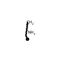 N.[CH2]CCSCCCCCCCCCCC#Cc1ccccc1